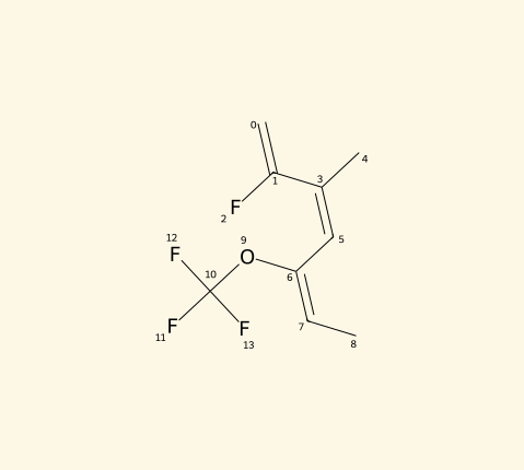 C=C(F)/C(C)=C\C(=C/C)OC(F)(F)F